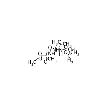 CCOC(=O)C(=CNC(=O)NC[C@@H](NC(=O)OC(C)(C)C)C(C)C)C(C)=O